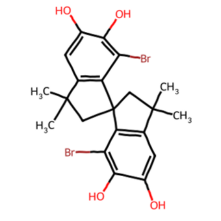 CC1(C)CC2(CC(C)(C)c3cc(O)c(O)c(Br)c32)c2c1cc(O)c(O)c2Br